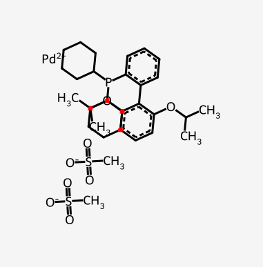 CC(C)Oc1cccc(OC(C)C)c1-c1ccccc1P(C1CCCCC1)C1CCCCC1.CS(=O)(=O)[O-].CS(=O)(=O)[O-].[Pd+2]